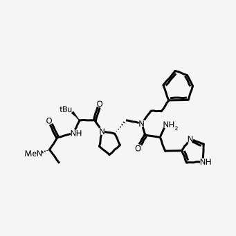 CN[C@@H](C)C(=O)N[C@H](C(=O)N1CCC[C@H]1CN(CCc1ccccc1)C(=O)C(N)Cc1c[nH]cn1)C(C)(C)C